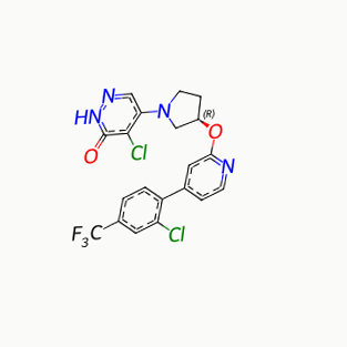 O=c1[nH]ncc(N2CC[C@@H](Oc3cc(-c4ccc(C(F)(F)F)cc4Cl)ccn3)C2)c1Cl